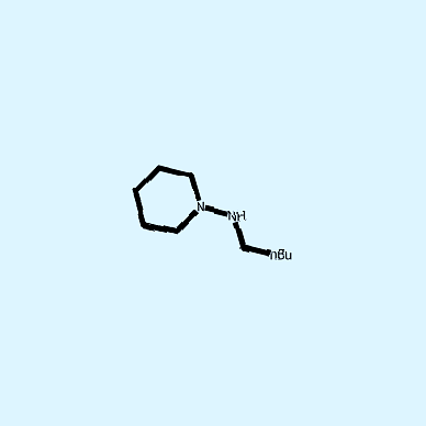 CCCC[CH]NN1CCCCC1